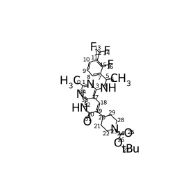 Cc1nc(N[C@H](C)c2cccc(C(F)F)c2F)c2cc(C3CCN(C(=O)OC(C)(C)C)CC3)c(=O)[nH]c2n1